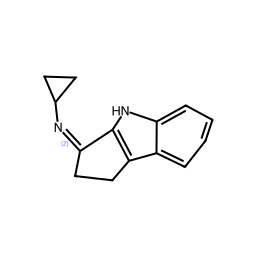 c1ccc2c3c([nH]c2c1)/C(=N\C1CC1)CC3